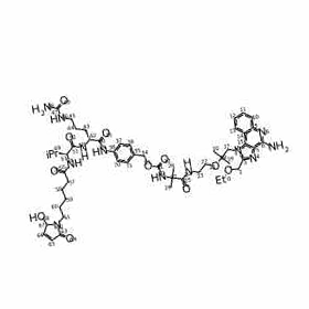 CCOCc1nc2c(N)nc3ccccc3c2n1CC(C)(C)OCCNC(=O)C(C)(C)NC(=O)OCc1ccc(NC(=O)[C@H](CCCNC(N)=O)NC(=O)[C@@H](NC(=O)CCCCCN2C(=O)C=CC2O)C(C)C)cc1